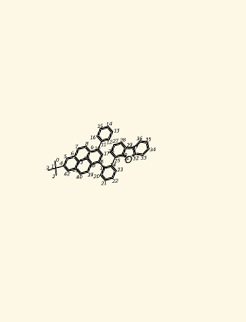 CC(C)(C)c1cc2ccc3c(-c4ccccc4)cc(-c4ccccc4-c4cccc5c4oc4ccccc45)c4ccc(c1)c2c34